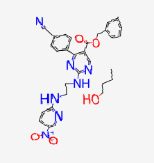 CCCCO.N#Cc1ccc(-c2nc(NCCNc3ccc([N+](=O)[O-])cn3)ncc2C(=O)OCc2ccccc2)cc1